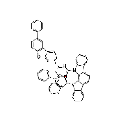 c1ccc(-c2ccc(-n3c4ccccc4c4ccc5c6ccccc6n(-c6nc(-c7ccccc7)nc(-c7ccc8c(c7)oc7ccc(-c9ccccc9)cc78)n6)c5c43)cc2)cc1